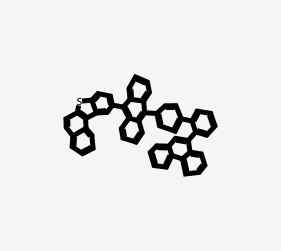 c1ccc(-c2cc3ccccc3c3ccccc23)c(-c2ccc(-c3c4ccccc4c(-c4ccc5sc6ccc7ccccc7c6c5c4)c4ccccc34)cc2)c1